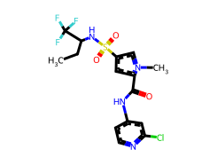 CCC(NS(=O)(=O)c1cc(C(=O)Nc2ccnc(Cl)c2)n(C)c1)C(F)(F)F